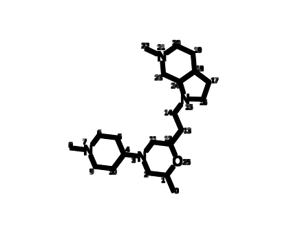 CC1CN(C2CCN(C)CC2)CC(CCN2CCC3CCN(C)CC32)O1